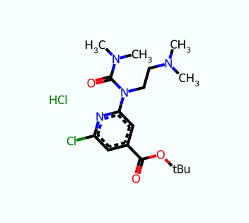 CN(C)CCN(C(=O)N(C)C)c1cc(C(=O)OC(C)(C)C)cc(Cl)n1.Cl